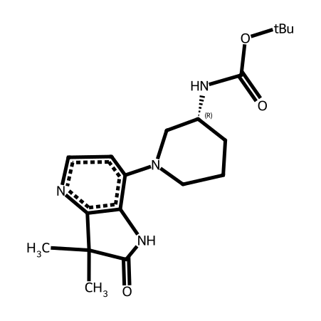 CC(C)(C)OC(=O)N[C@@H]1CCCN(c2ccnc3c2NC(=O)C3(C)C)C1